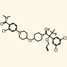 C=CCOC(C(=O)N1CCC(OC2CCN(c3ccc(C(=O)N(C)C)c(Cl)c3)CC2)CC1)(c1cc(Cl)cc(Cl)c1)C(C)(F)F